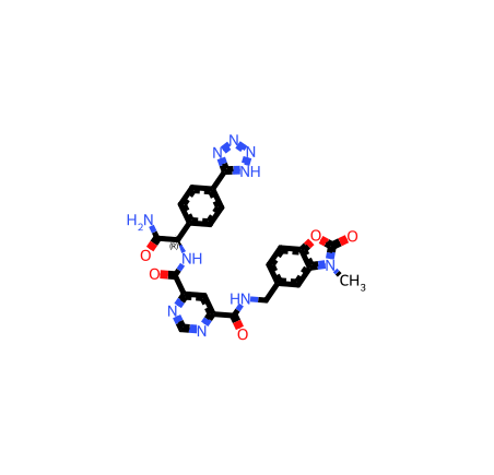 Cn1c(=O)oc2ccc(CNC(=O)c3cc(C(=O)N[C@@H](C(N)=O)c4ccc(-c5nnn[nH]5)cc4)ncn3)cc21